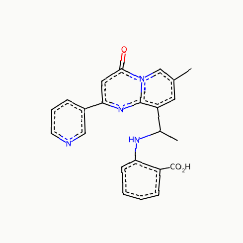 Cc1cc(C(C)Nc2ccccc2C(=O)O)c2nc(-c3cccnc3)cc(=O)n2c1